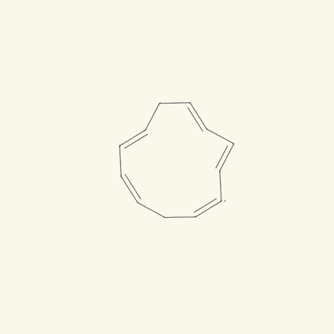 [C]1=C\C/C=C\C=C\C/C=C/C=C/1